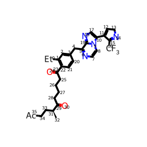 CCc1cc(Cc2nccn3c(C4=CCN=C4C(F)(F)F)cnc23)ccc1C(=O)CCCCC(=O)[C@@H](C)CCC(C)=O